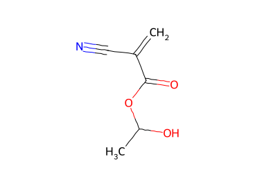 C=C(C#N)C(=O)OC(C)O